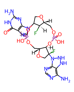 Nc1nc2c(ncn2[C@@]23CO[C@H](COP(=O)(O)O[C@@H]4[C@@H](COP(O)(=S)O2)OC[C@@]4(F)N2NNc4c(N)ncnc42)[C@H]3F)c(=O)[nH]1